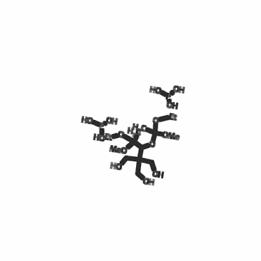 CCOC(C)(OC)OC(C(CO)(CO)CO)C(C)(OC)OCC.OP(O)O.OP(O)O